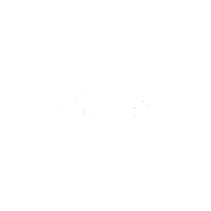 CC(C)(C)CCCCCC(N)=O